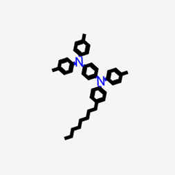 CCCCCCCCc1ccc(N(c2ccc(C)cc2)c2ccc(N(c3ccc(C)cc3)c3ccc(C)cc3)cc2)cc1